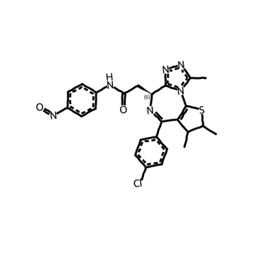 Cc1nnc2n1C1=C(C(c3ccc(Cl)cc3)=N[C@H]2CC(=O)Nc2ccc(N=O)cc2)C(C)C(C)S1